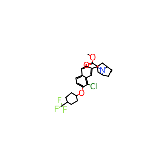 COC(=O)C1CC2CCC(C1)N2Cc1ccc2ccc(OC3CCC(C(F)(F)F)CC3)c(Cl)c2c1